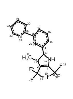 CN1C(C(F)(F)F)=C(C(F)(F)F)NC1c1cccc(-c2ccccn2)n1